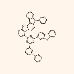 C1=CC2c3c(cccc3-c3nc(-c4cccc(-c5ccccc5)c4)nc(-c4ccc5c(c4)sc4ccccc45)n3)OC2c2c1n(-c1ccccc1)c1ccccc21